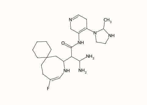 CC1NCCN1C1=C(NC(=O)C(C(N)N)C2CC3(CCCCC3)CC/C(F)=C\N2)CN=CC1